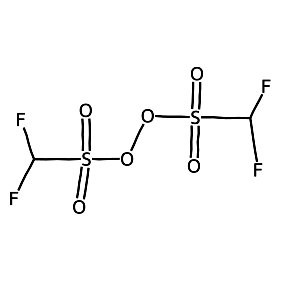 O=S(=O)(OOS(=O)(=O)C(F)F)C(F)F